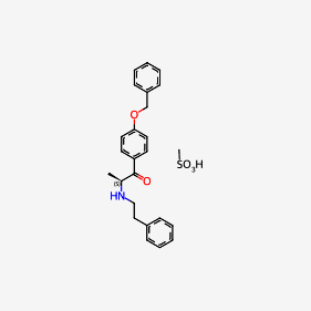 CS(=O)(=O)O.C[C@H](NCCc1ccccc1)C(=O)c1ccc(OCc2ccccc2)cc1